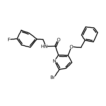 O=C(NCc1ccc(F)cc1)c1nc(Br)ccc1OCc1ccccc1